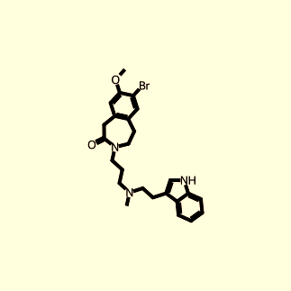 COc1cc2c(cc1Br)CCN(CCCN(C)CCc1c[nH]c3ccccc13)C(=O)C2